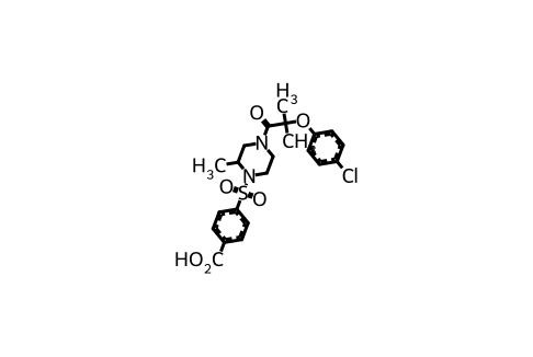 CC1CN(C(=O)C(C)(C)Oc2ccc(Cl)cc2)CCN1S(=O)(=O)c1ccc(C(=O)O)cc1